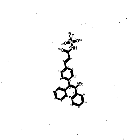 CCC(=C(c1ccccc1)c1ccc(C=CC(=O)NS(=O)(=O)C(F)(F)F)cc1)c1ccccc1